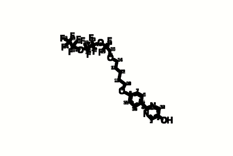 Oc1cnc(-c2ccc(OCCCCCOCC(F)(F)OC(F)(F)C(F)(F)OC(F)(F)C(F)(F)F)cc2)nc1